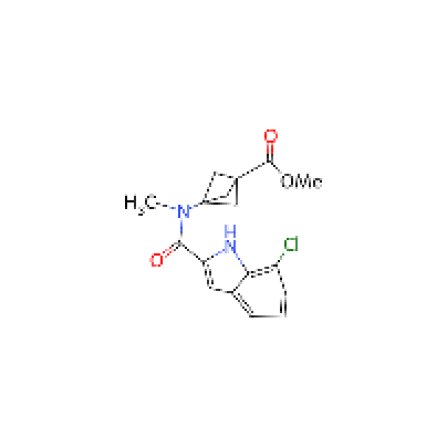 COC(=O)C12CC(N(C)C(=O)c3cc4cccc(Cl)c4[nH]3)(C1)C2